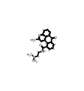 Cc1cc2c3c(cccc3n1)C(=O)c1cccc(C(=O)NCCN(C)C)c1-2